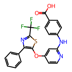 O=C(O)c1ccc(Nc2cc(Oc3sc(C(F)(F)F)nc3-c3ccccc3)ccn2)cc1